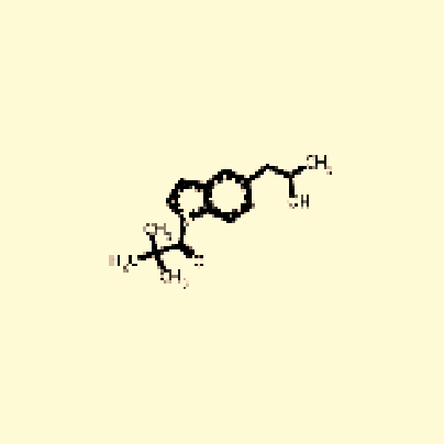 CC(O)Cc1ccc2c(ccn2C(=O)C(C)(C)C)c1